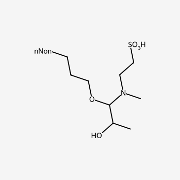 CCCCCCCCCCCCOC(C(C)O)N(C)CCS(=O)(=O)O